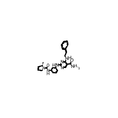 C[C@@H]1CCCN1C(=O)Nc1cccc(Nc2ncc(C(N)=O)c(NCCc3ccccc3)n2)c1